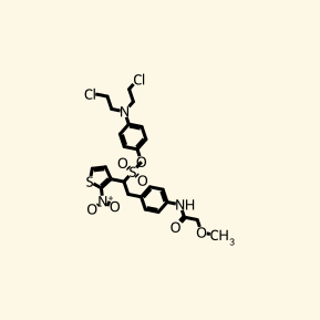 COCC(=O)Nc1ccc(CC(c2ccsc2[N+](=O)[O-])S(=O)(=O)Oc2ccc(N(CCCl)CCCl)cc2)cc1